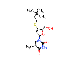 Cc1cn([C@H]2C=C(SCC[Si](C)(C)C)[C@@H](CO)O2)c(=O)[nH]c1=O